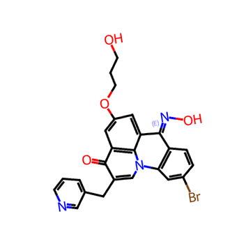 O=c1c(Cc2cccnc2)cn2c3cc(Br)ccc3/c(=N\O)c3cc(OCCCO)cc1c32